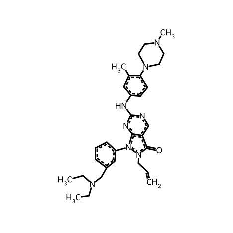 C=CCn1c(=O)c2cnc(Nc3ccc(N4CCN(C)CC4)c(C)c3)nc2n1-c1cccc(CN(CC)CC)c1